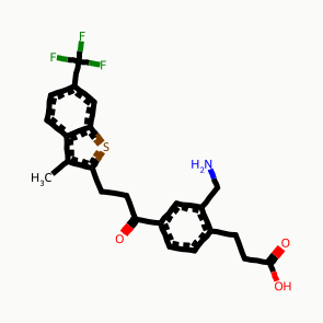 Cc1c(CCC(=O)c2ccc(CCC(=O)O)c(CN)c2)sc2cc(C(F)(F)F)ccc12